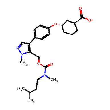 CC(C)CCN(C)C(=O)OCc1c(-c2ccc(O[C@H]3CCC[C@H](C(=O)O)C3)cc2)cnn1C